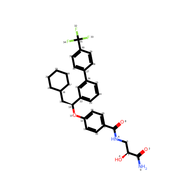 NC(=O)[C@@H](O)CNC(=O)c1ccc(O[C@@H](CC2CCCCC2)c2cccc(-c3ccc(C(F)(F)F)cc3)c2)cc1